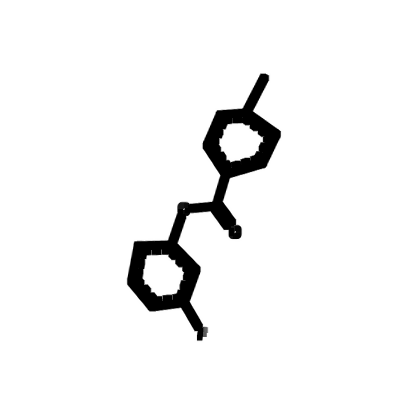 Cc1ccc(C(=O)Oc2cccc(F)c2)cc1